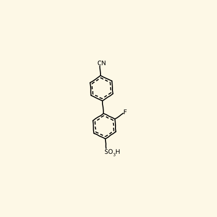 N#Cc1ccc(-c2ccc(S(=O)(=O)O)cc2F)cc1